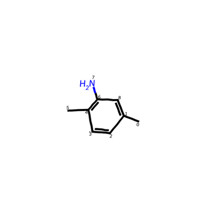 Cc1c[c]c(C)c(N)c1